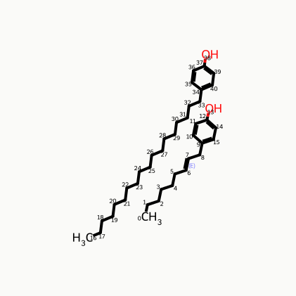 CCCCCC/C=C/Cc1ccc(O)cc1.CCCCCCCCCCCCCCCCCCc1ccc(O)cc1